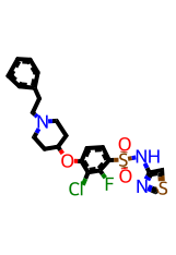 O=S(=O)(Nc1cscn1)c1ccc(OC2CCN(CCc3ccccc3)CC2)c(Cl)c1F